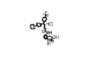 Cl.O=C(/C=C/C=C(\c1ccc(N2CCCCC2)cc1)c1ccc(C(F)(F)F)cc1)Nc1cccc2c1CC(O)C(=O)N2